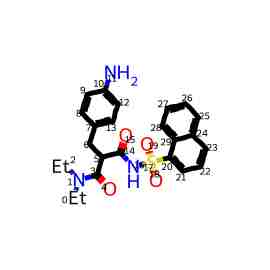 CCN(CC)C(=O)C(Cc1ccc(N)cc1)C(=O)NS(=O)(=O)c1cccc2ccccc12